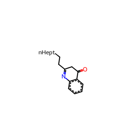 CCCCCCCCCC1=Nc2ccccc2C(=O)C1